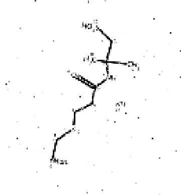 CCCCCCCCCCSCCC(=O)NC(C)(C)CS(=O)(=O)O.[KH]